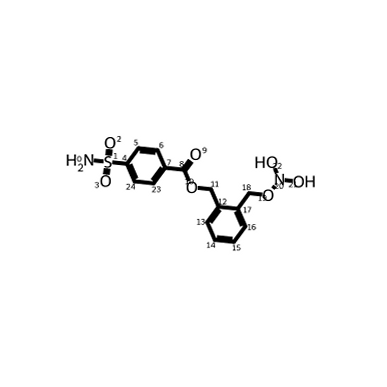 NS(=O)(=O)c1ccc(C(=O)OCc2ccccc2CON(O)O)cc1